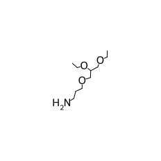 CCOCC(COCCCN)OCC